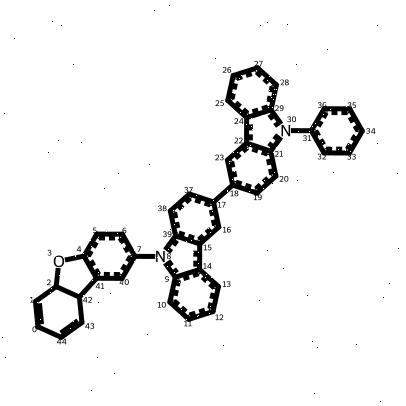 C1=CC2Oc3ccc(-n4c5ccccc5c5cc(-c6ccc7c(c6)c6ccccc6n7-c6ccccc6)ccc54)cc3C2C=C1